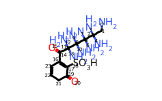 NCC(N)(N)C(N)(N)C(N)(N)C(N)(N)C(=O)C1=C(S(=O)(=O)O)C(=O)CC=C1